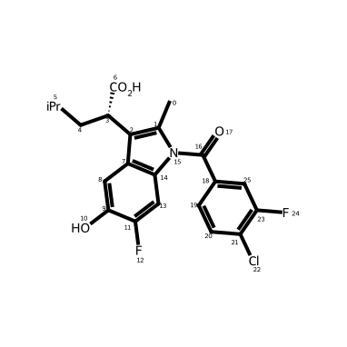 Cc1c([C@H](CC(C)C)C(=O)O)c2cc(O)c(F)cc2n1C(=O)c1ccc(Cl)c(F)c1